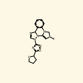 FN1C=C2N(C1)c1ccccc1C1N=CN(c3noc(C4CCCO4)n3)N21